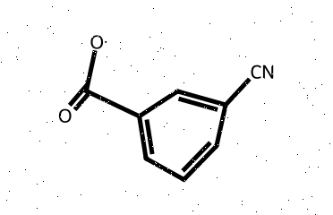 N#Cc1cccc(C([O])=O)c1